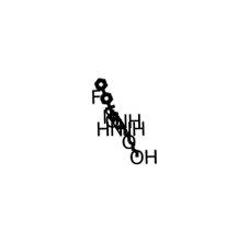 CC(C)(c1ccc(-c2ccccc2)c(F)c1)c1cc(NC(=N)NCCOCCCO)on1